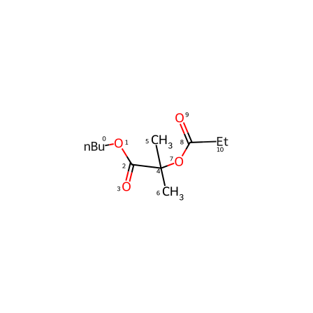 CCCCOC(=O)C(C)(C)OC(=O)CC